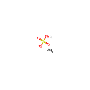 O=S(=O)(O)O.[AlH3].[Ti]